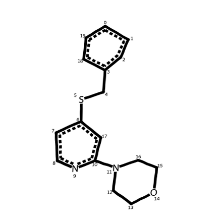 c1ccc(CSc2ccnc(N3CCOCC3)c2)cc1